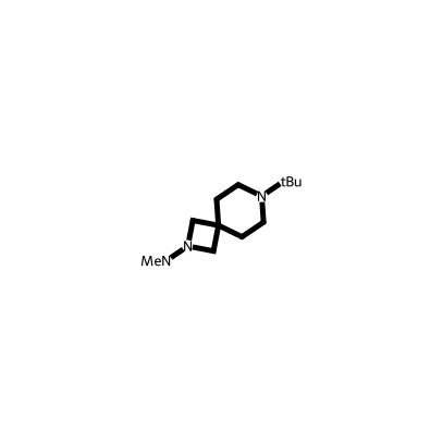 CNN1CC2(CCN(C(C)(C)C)CC2)C1